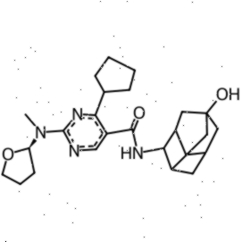 CN(c1ncc(C(=O)NC2C3CC4CC2CC(O)(C4)C3)c(C2CCCC2)n1)[C@H]1CCCO1